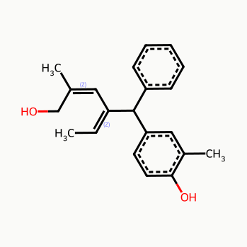 C/C=C(\C=C(\C)CO)C(c1ccccc1)c1ccc(O)c(C)c1